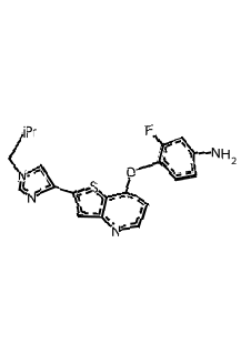 CC(C)Cn1cnc(-c2cc3nccc(Oc4ccc(N)cc4F)c3s2)c1